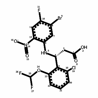 O=C(O)C[C@@H](Nc1cc(Br)c(F)cc1[N+](=O)[O-])c1c(Cl)cccc1OC(F)F